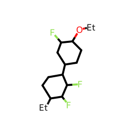 CCOC1CCC(C2CCC(CC)C(F)C2F)CC1F